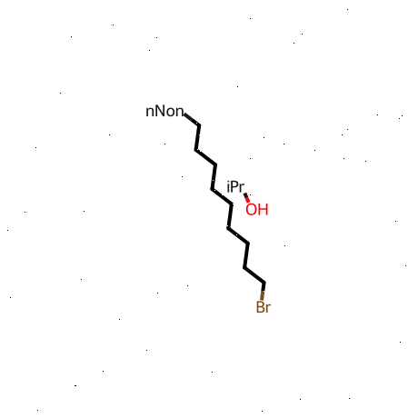 CC(C)O.CCCCCCCCCCCCCCCCCCBr